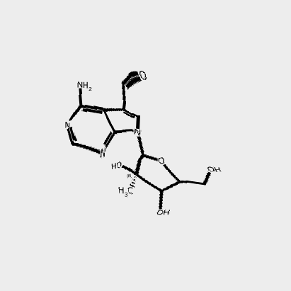 C[C@@]1(O)C(O)C(CO)OC1n1cc(C=O)c2c(N)ncnc21